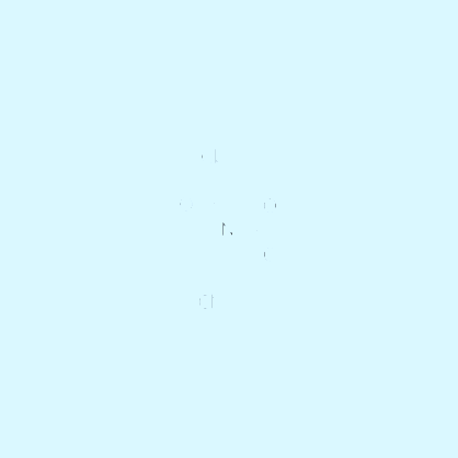 O=C(Cl)N(CCCl)C(=O)CCl